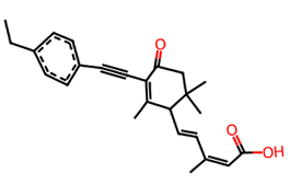 CCc1ccc(C#CC2=C(C)C(/C=C/C(C)=C\C(=O)O)C(C)(C)CC2=O)cc1